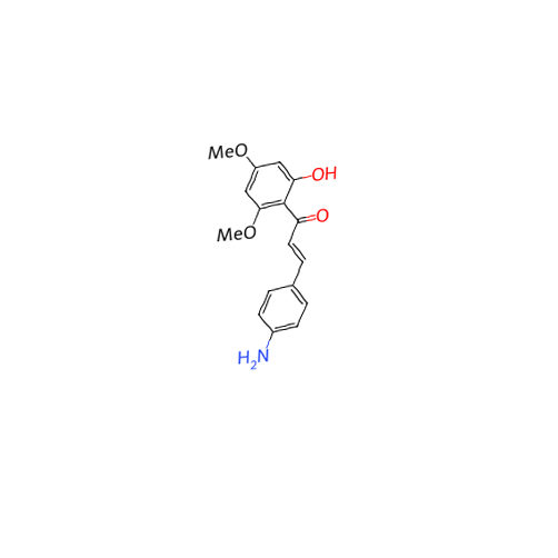 COc1cc(O)c(C(=O)C=Cc2ccc(N)cc2)c(OC)c1